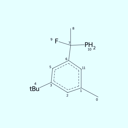 Cc1cc(C(C)(C)C)cc(C(C)(F)P)c1